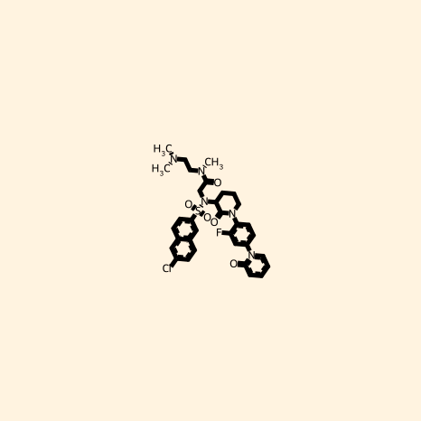 CN(C)CCN(C)C(=O)CN(C1CCCN(c2ccc(-n3ccccc3=O)cc2F)C1=O)S(=O)(=O)c1ccc2cc(Cl)ccc2c1